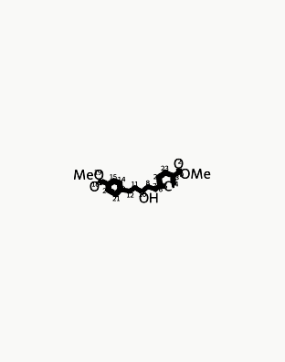 COC(=O)c1ccc(CCC(O)CCc2ccc(C(=O)OC)cc2)cc1